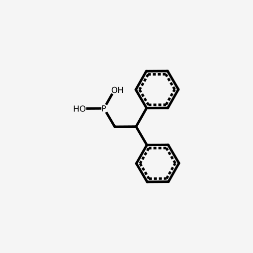 OP(O)CC(c1ccccc1)c1ccccc1